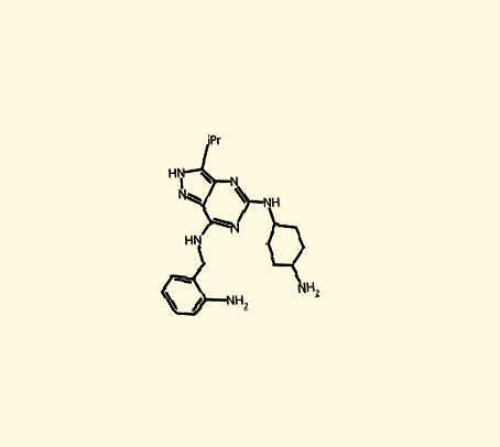 CC(C)c1[nH]nc2c(NCc3ccccc3N)nc(NC3CCC(N)CC3)nc12